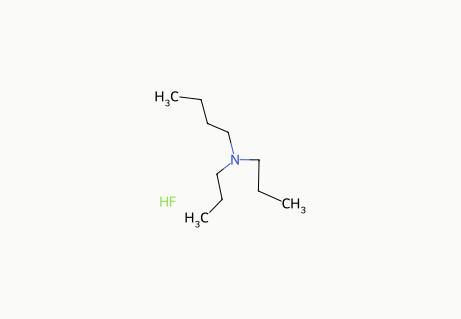 CCCCN(CCC)CCC.F